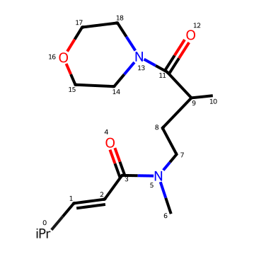 CC(C)/C=C/C(=O)N(C)CCC(C)C(=O)N1CCOCC1